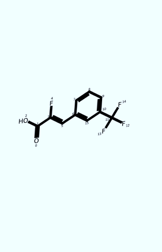 O=C(O)C(F)=Cc1cccc(C(F)(F)F)c1